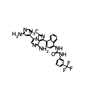 Cc1nc(-c2ccc(NC(=O)Nc3cccc(C(F)(F)F)c3)c3ccccc23)c2c(N)ncc(-c3ccnc(N)c3)n12